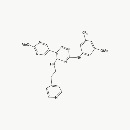 COc1cc(Nc2ncc(-c3cnc(OC)nc3)c(NCCc3ccncc3)n2)cc(C(F)(F)F)c1